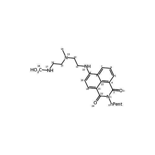 CCCCCN1C(=O)c2cccc3c(NCCN(C)CCNC(=O)O)ccc(c23)C1=O